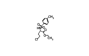 CCOC(=O)C(CCCl)NS(=O)(=O)c1ccc(C)cc1